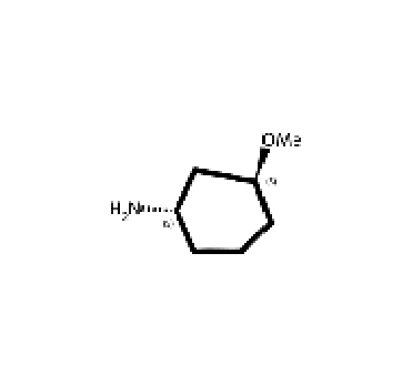 CO[C@H]1CCC[C@H](N)C1